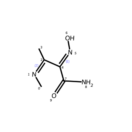 C/N=C(C)\C(=N/O)C(N)=O